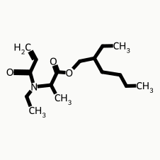 C=CC(=O)N(CC)C(C)C(=O)OCC(CC)CCCC